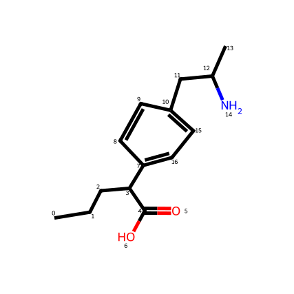 CCCC(C(=O)O)c1ccc(CC(C)N)cc1